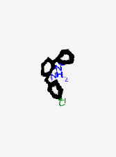 NC1(Cc2ccc(Cl)cc2)CCCc2c1[nH]c1ccccc21